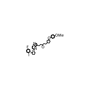 COc1ccc(O[C@H]2CCC(CCC(=O)CCc3cnn4ccc(N5CCC[C@@H]5c5cc(F)ccc5I)nc34)C2)cc1